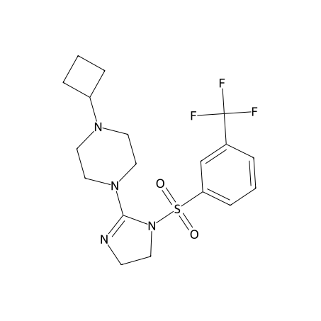 O=S(=O)(c1cccc(C(F)(F)F)c1)N1CCN=C1N1CCN(C2CCC2)CC1